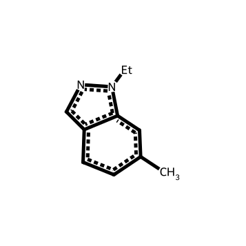 CCn1ncc2ccc(C)cc21